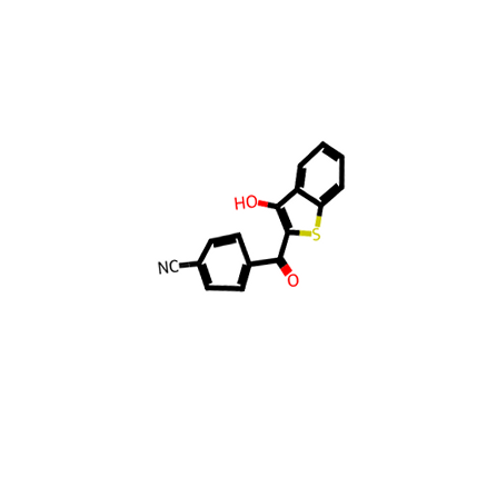 N#Cc1ccc(C(=O)c2sc3ccccc3c2O)cc1